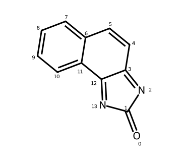 O=C1N=c2ccc3ccccc3c2=N1